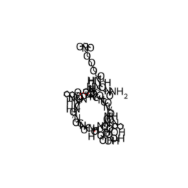 CC(C)[C@H](NC(=O)CCOCCOCCOCCN1C(=O)C=CC1=O)C(=O)N[C@@H](CCCNC(N)=O)C(=O)Nc1ccc(COc2cc3ccccc3nc2C(=O)N[C@@H]2CNC(=O)[C@H](C(C)C)N(C)C(=O)CN(C)C(=O)CNC(=O)[C@@H]3CCCCN3C(=O)[C@H](NC(=O)c3nc4ccccc4cc3O[C@@H]3O[C@H](C(=O)O)[C@@H](O)[C@H](O)[C@H]3O)CNC(=O)[C@H](C(C)C)N(C)C(=O)CN(C)C(=O)CNC(=O)[C@@H]3CCCCN3C2=O)cc1